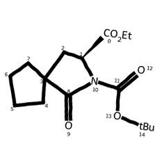 CCOC(=O)[C@@H]1CC2(CCCC2)C(=O)N1C(=O)OC(C)(C)C